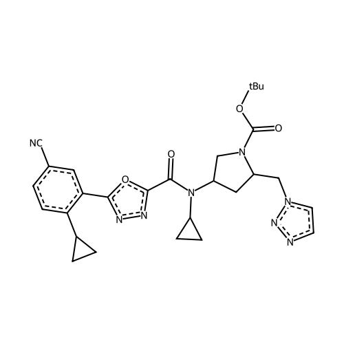 CC(C)(C)OC(=O)N1CC(N(C(=O)c2nnc(-c3cc(C#N)ccc3C3CC3)o2)C2CC2)CC1Cn1ccnn1